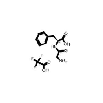 NCC(=O)N[C@@H](Cc1ccccc1)C(=O)O.O=C(O)C(F)(F)F